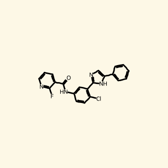 O=C(Nc1ccc(Cl)c(-c2ncc(-c3ccccc3)[nH]2)c1)c1cccnc1F